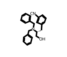 [C-]#[N+]c1cccc(C[C@H](CO)N(Cc2ccccc2)Cc2ccccc2)c1